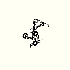 CCCCN(CCCC)C(=O)c1ccc2nc(-c3cc(F)ccc3Br)n(CCCN3CCCCC3)c2n1